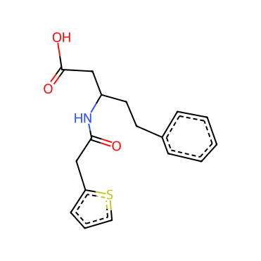 O=C(O)CC(CCc1ccccc1)NC(=O)Cc1cccs1